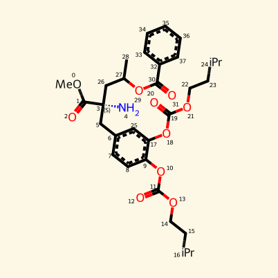 COC(=O)[C@](N)(Cc1ccc(OC(=O)OCCC(C)C)c(OC(=O)OCCC(C)C)c1)CC(C)OC(=O)c1ccccc1